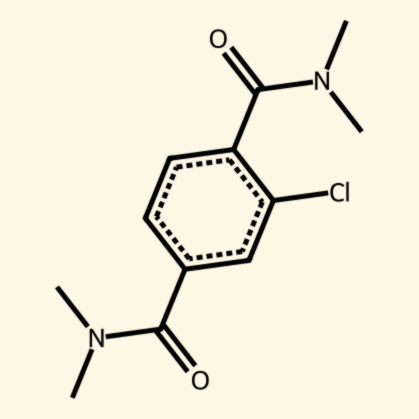 CN(C)C(=O)c1ccc(C(=O)N(C)C)c(Cl)c1